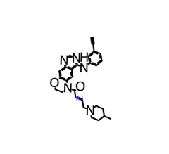 C#Cc1cccc(Nc2ncnc3cc4c(cc23)N(C(=O)/C=C/CN2CCC(C)CC2)CCO4)c1